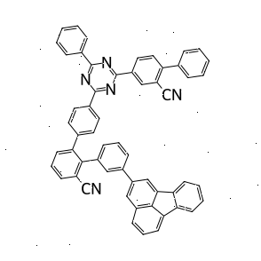 N#Cc1cc(-c2nc(-c3ccccc3)nc(-c3ccc(-c4cccc(C#N)c4-c4cccc(-c5cc6c7c(cccc7c5)-c5ccccc5-6)c4)cc3)n2)ccc1-c1ccccc1